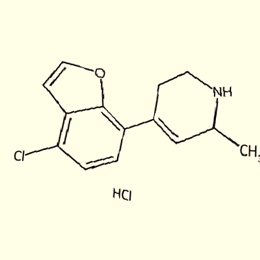 CC1C=C(c2ccc(Cl)c3ccoc23)CCN1.Cl